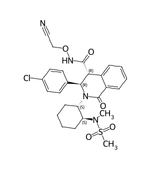 CN([C@H]1CCCC[C@@H]1N1C(=O)c2ccccc2[C@@H](C(=O)NOCC#N)[C@@H]1c1ccc(Cl)cc1)S(C)(=O)=O